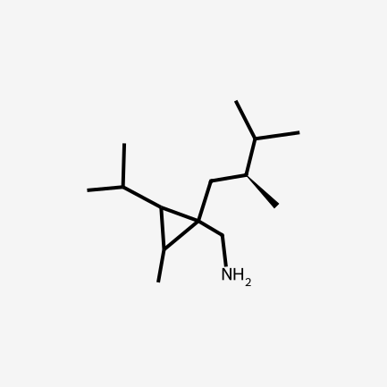 CC(C)C1C(C)C1(CN)C[C@H](C)C(C)C